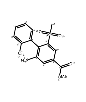 COC(=O)c1cc(N)c(-c2ccccc2C(F)(F)F)c(S(C)(=O)=O)c1